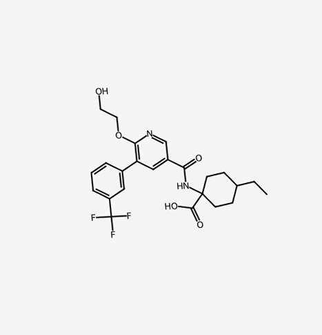 CCC1CCC(NC(=O)c2cnc(OCCO)c(-c3cccc(C(F)(F)F)c3)c2)(C(=O)O)CC1